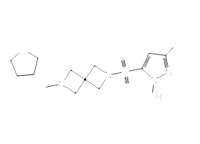 Cn1nc(C(F)(F)F)cc1S(=O)(=O)N1CC2(CN(C[C@@H]3CCOC3)C2)C1